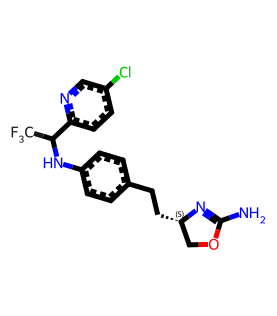 NC1=N[C@@H](CCc2ccc(NC(c3ccc(Cl)cn3)C(F)(F)F)cc2)CO1